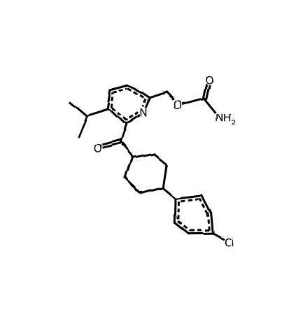 CC(C)c1ccc(COC(N)=O)nc1C(=O)C1CCC(c2ccc(Cl)cc2)CC1